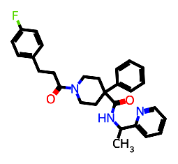 CC(NC(=O)C1(c2ccccc2)CCN(C(=O)CCc2ccc(F)cc2)CC1)c1ccccn1